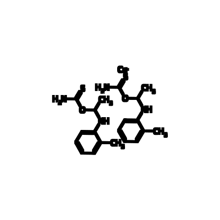 Cc1ccccc1NC(C)OC(N)=S.Cc1ccccc1NC(C)OC(N)=S.[Cu]